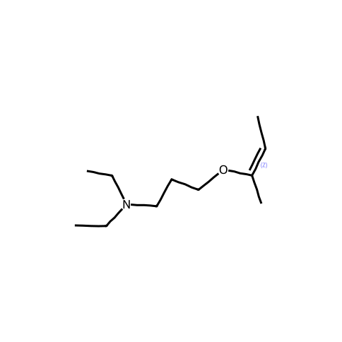 C/C=C(/C)OCCCN(CC)CC